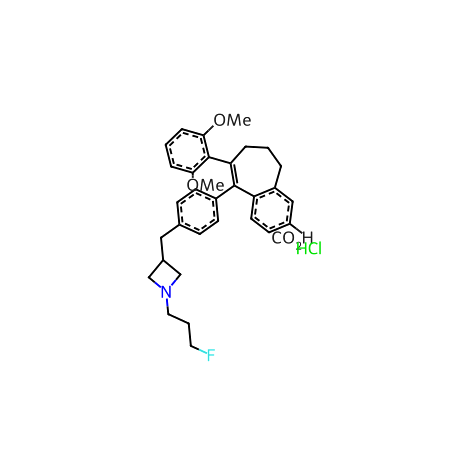 COc1cccc(OC)c1C1=C(c2ccc(CC3CN(CCCF)C3)cc2)c2ccc(C(=O)O)cc2CCC1.Cl